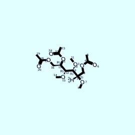 [2H][C@@](COC(C)=O)(OC)[C@@H](OC)[C@H](OC)[C@@H](COC(C)=O)OC(C)=O